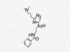 CN(C)CCCc1nccc([AsH]CCNC(=O)c2ccccc2)n1